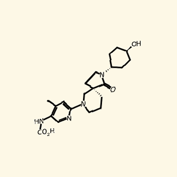 Cc1cc(N2CCC[C@@]3(CCN([C@H]4CC[C@H](O)CC4)C3=O)C2)ncc1NC(=O)O